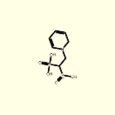 O=[PH](O)C(CN1C=CC=CC1)P(=O)(O)O